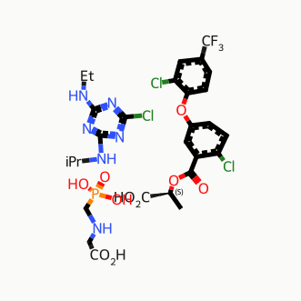 CCNc1nc(Cl)nc(NC(C)C)n1.C[C@H](OC(=O)c1cc(Oc2ccc(C(F)(F)F)cc2Cl)ccc1Cl)C(=O)O.O=C(O)CNCP(=O)(O)O